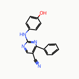 N#Cc1cnc(Nc2ccc(O)cc2)nc1-c1ccccc1